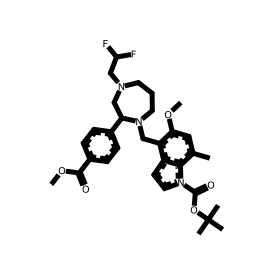 COC(=O)c1ccc(C2CN(CC(F)F)CCCN2Cc2c(OC)cc(C)c3c2ccn3C(=O)OC(C)(C)C)cc1